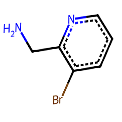 NCc1ncccc1Br